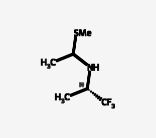 CSC(C)N[C@@H](C)C(F)(F)F